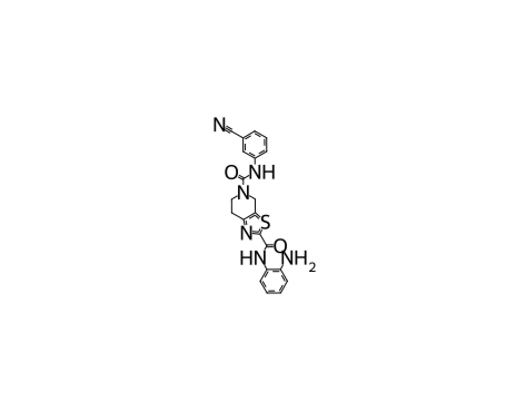 N#Cc1cccc(NC(=O)N2CCc3nc(C(=O)Nc4ccccc4N)sc3C2)c1